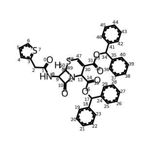 O=C(Cc1cccs1)NC1C(=O)N2C(C(=O)OC(c3ccccc3)c3ccccc3)C(C(=O)OC(c3ccccc3)c3ccccc3)=CS[C@H]12